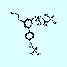 CC.CCC.CCOc1cc(C)nc(-c2ccc(Cl)cc2)n1.OP(O)(O)=S.OP(O)(O)=S